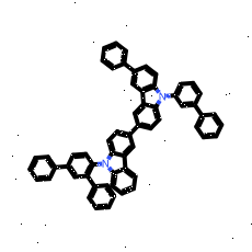 c1ccc(-c2cccc(-n3c4ccc(-c5ccccc5)cc4c4cc(-c5ccc6c(c5)c5ccccc5n6-c5ccc(-c6ccccc6)cc5-c5ccccc5)ccc43)c2)cc1